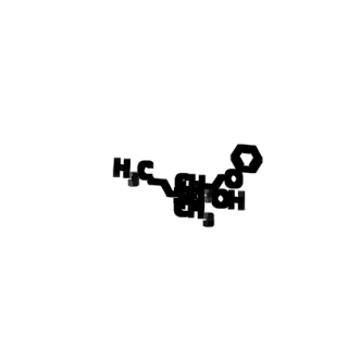 CCCC[Si](C)(C)OCC(O)COc1ccccc1